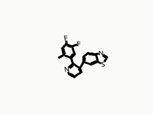 Cc1cc(F)c(F)cc1-c1ncccc1-c1ccc2ncsc2c1